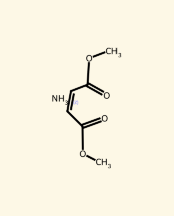 COC(=O)/C=C\C(=O)OC.N